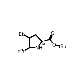 CCCC1N[C@H](C(=O)OC(C)(C)C)CC1CC